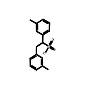 Cc1cccc(CC(c2cccc(C)c2)S(=O)(=O)Cl)c1